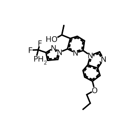 CCCOc1ccc2c(c1)ncn2-c1ccc(C(C)O)c(-n2ccc(C(F)(F)P)n2)n1